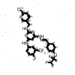 Fc1ccc(Nc2cc(N/N=C/c3ccc(OC(F)(F)C(F)F)cc3)nc(NCc3ccc(Cl)nc3)n2)cc1C(F)(F)F